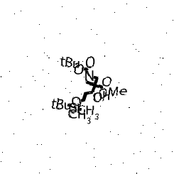 COC(=O)C1(C(O)CCO[Si](C)(C)C(C)(C)C)CN(C(=O)OC(C)(C)C)C1